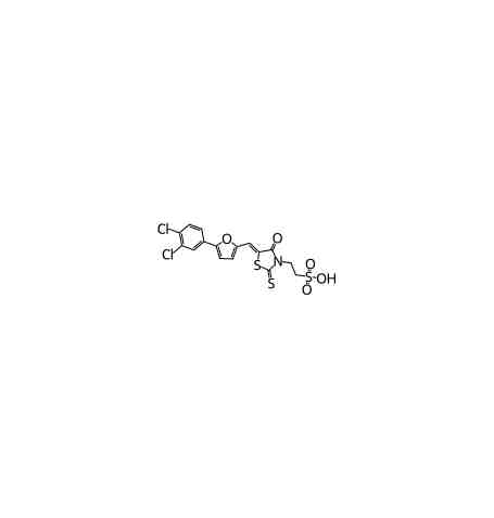 O=C1C(=Cc2ccc(-c3ccc(Cl)c(Cl)c3)o2)SC(=S)N1CCS(=O)(=O)O